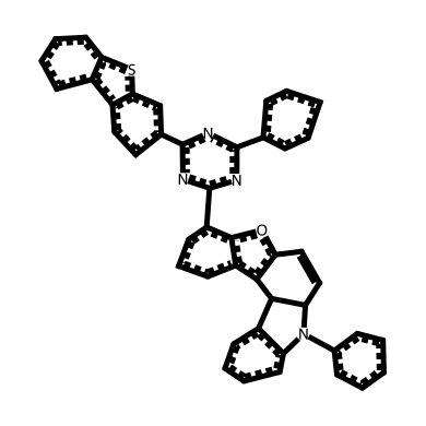 C1=CC2C(c3ccccc3N2c2ccccc2)c2c1oc1c(-c3nc(-c4ccccc4)nc(-c4ccc5c(c4)sc4ccccc45)n3)cccc21